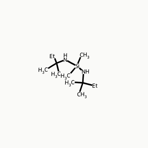 CCC(C)(C)N[Si](C)(C)NC(C)(C)CC